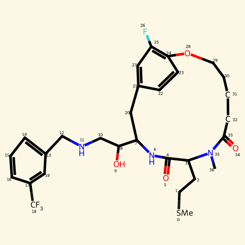 CSCCC1C(=O)NC(C(O)CNCc2cccc(C(F)(F)F)c2)Cc2ccc(c(F)c2)OCCCCC(=O)N1C